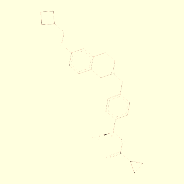 C[C@H](NC(=O)C1CC1)c1ccc(CN2CCc3cc(OCC4CCC4)ccc3C2)cc1